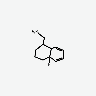 NCC1CCC[C@H]2C=CC=CC12